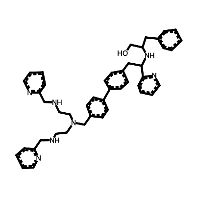 OCC(Cc1ccccc1)NC(Cc1ccc(-c2ccc(CN(CCNCc3ccccn3)CCNCc3ccccn3)cc2)cc1)c1ccccn1